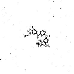 CCNS(=O)(=O)c1cc(Nc2ncc(C)c(Nc3ccc4c(C)nn(CC5CC5)c4c3)n2)ccc1C